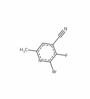 Cc1cc(C#N)c(F)c(Br)n1